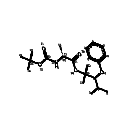 CC(C)C(Oc1ccccc1)C(C)(C)OC(=O)[C@@H](C)NC(=O)OC(C)(C)C